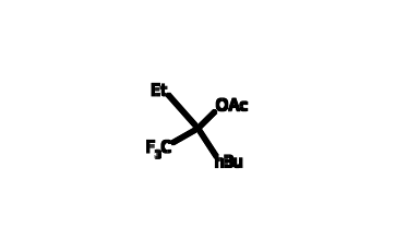 CCCCC(CC)(OC(C)=O)C(F)(F)F